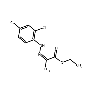 CCOC(=O)C(C)=NNc1ccc(Cl)cc1Cl